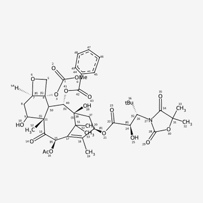 COC(=O)O[C@@]12CO[C@@H]1CC(O)[C@@]1(C)C(=O)[C@H](OC(C)=O)C3=C(C)[C@H](OC(=O)[C@H](O)[C@@H](N4C(=O)OC(C)(C)C4=O)C(C)(C)C)C[C@@](O)([C@@H](OC(=O)c4ccccc4)C12)C3(C)C